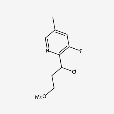 COCCC(Cl)c1ncc(C)cc1F